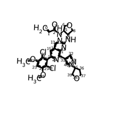 C=CC(=O)N[C@H]1COC[C@H]1Nc1ncc2cc(-c3c(Cl)c(OC)cc(OC)c3Cl)nc(-c3cnn(C4CCOC4)c3)c2n1